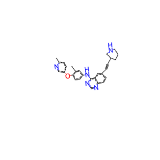 Cc1ccc(Oc2ccc(Nc3ncnc4ccc(C#CC5CCCNC5)cc34)cc2C)cn1